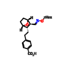 CCCCCCON=C[C@H]1[C@H](CCc2ccc(C(=O)O)cc2)[C@@H]2CC[C@H]1O2